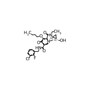 CCCCOc1c2n(cc(C(=O)NCc3cccc(Cl)c3F)c1=O)C[C@@]1(C[C@@H]1CO)N(CC)C2=O